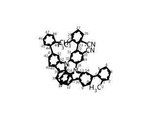 Cc1ccccc1-c1ccc2c3ccccc3n(-c3cc(C#N)c(-c4c(C#N)cccc4C(F)(F)F)cc3-n3c4ccccc4c4ccc(-c5ccccc5C)cc43)c2c1